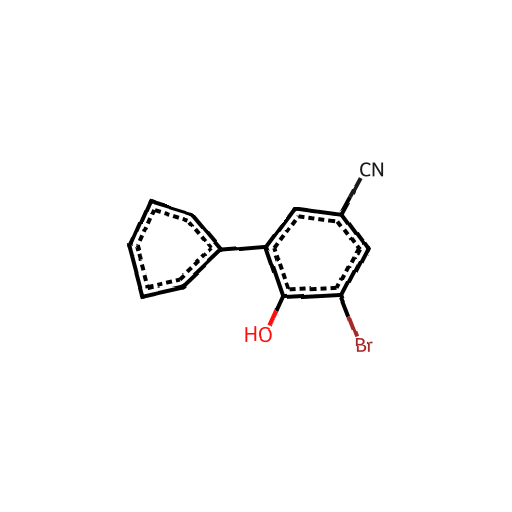 N#Cc1cc(Br)c(O)c(-c2ccccc2)c1